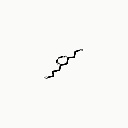 CCCOCCC.OCCCCCCCCO